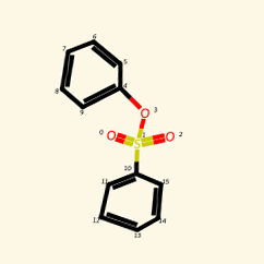 O=S(=O)(Oc1[c]cccc1)c1ccccc1